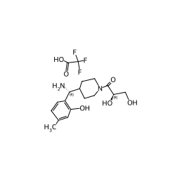 Cc1ccc([C@H](N)C2CCN(C(=O)[C@H](O)CO)CC2)c(O)c1.O=C(O)C(F)(F)F